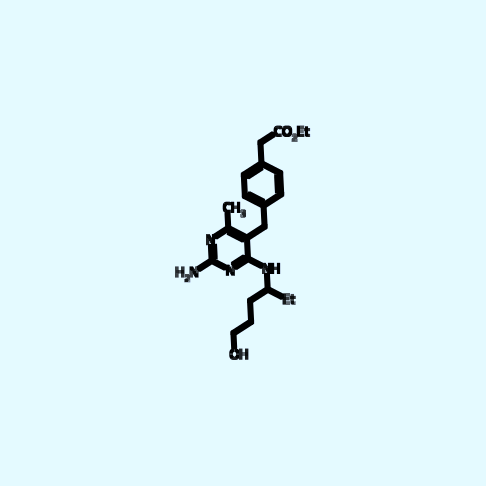 CCOC(=O)Cc1ccc(Cc2c(C)nc(N)nc2NC(CC)CCCO)cc1